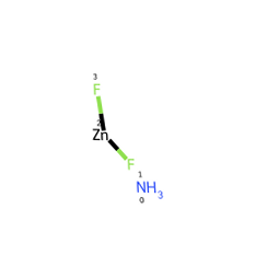 N.[F][Zn][F]